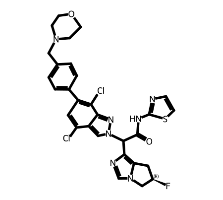 O=C(Nc1nccs1)C(c1ncn2c1C[C@@H](F)C2)n1cc2c(Cl)cc(-c3ccc(CN4CCOCC4)cc3)c(Cl)c2n1